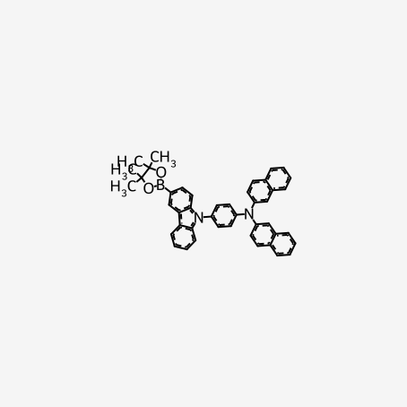 CC1(C)OB(c2ccc3c(c2)c2ccccc2n3-c2ccc(N(c3ccc4ccccc4c3)c3ccc4ccccc4c3)cc2)OC1(C)C